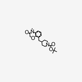 CN1C(=O)COc2c(CC3CCN(C(=O)OC(C)(C)C)CC3)cccc21